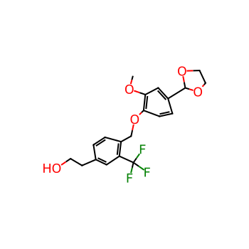 COc1cc(C2OCCO2)ccc1OCc1ccc(CCO)cc1C(F)(F)F